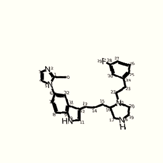 Cc1nccn1-c1ccc2[nH]cc(CCCC3CNCCN3CCc3cccc(F)c3)c2c1